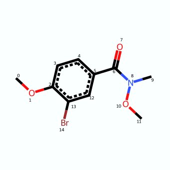 COc1ccc(C(=O)N(C)OC)cc1Br